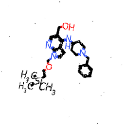 C[Si](C)(C)CCOCn1ccc2c(NC3CCN(Cc4ccccc4)CC3)c(CO)cnc21